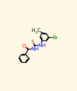 Cc1cc(Br)cc(NC(=S)NC(=O)c2ccccc2)c1